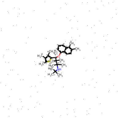 Cc1ccc2c(O[C@](C)(c3sc(C)c(C)c3C)C(C)(C)C(C)(C)NC(C)(C)C)cccc2c1C